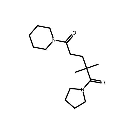 CC(C)(CCC(=O)N1CCCCC1)C(=O)N1CCCC1